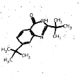 CC(C)(C)c1ccc2c(=O)[nH]c(C(C)(C)C)nc2c1